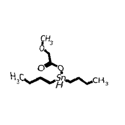 CCC[CH2][SnH]([CH2]CCC)[O]C(=O)COC